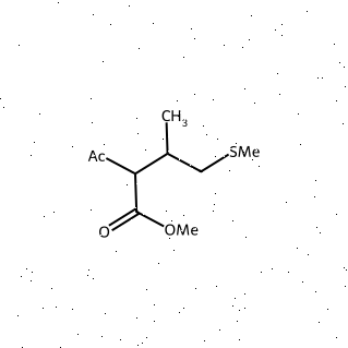 COC(=O)C(C(C)=O)C(C)CSC